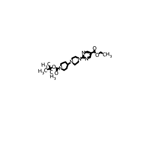 CCOC(=O)c1cnc(N2CCN(C3CCN(C(=O)OC(C)(C)C)CC3)CC2)nc1